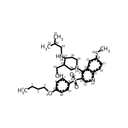 CCCCOc1ccc(S(=O)(=O)c2cnc3ccc(SC)cc3c2N2CCC(NCC(C)C)C(CO)C2)cc1